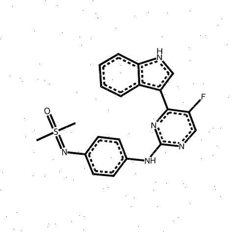 CS(C)(=O)=Nc1ccc(Nc2ncc(F)c(-c3c[nH]c4ccccc34)n2)cc1